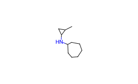 CC1CC1NC1CCCCCC1